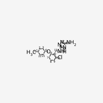 Cc1ccc(Oc2cccc(Cl)c2CNc2nnc(N)[nH]2)cc1